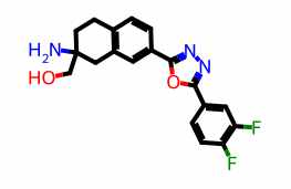 NC1(CO)CCc2ccc(-c3nnc(-c4ccc(F)c(F)c4)o3)cc2C1